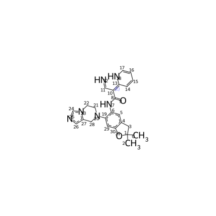 CC1(C)Cc2cc(NC(=O)/C(C=N)=C3\C=CC=CN3)c(N3CCn4cncc4C3)cc2O1